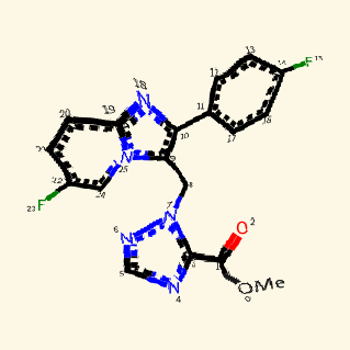 COC(=O)c1ncnn1Cc1c(-c2ccc(F)cc2)nc2ccc(F)cn12